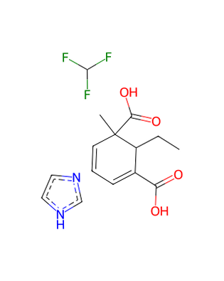 CCC1C(C(=O)O)=CC=CC1(C)C(=O)O.FC(F)F.c1c[nH]cn1